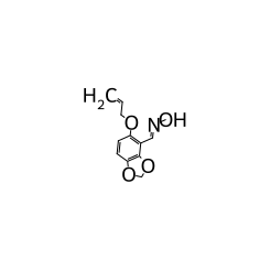 C=CCOc1ccc2c(c1C=NO)OCO2